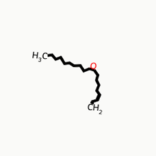 C=C/C=C\CCCCC1OC1CCCCCCCCC